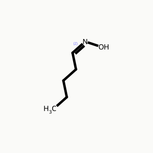 CCCC/C=N\O